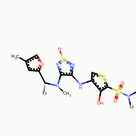 CC[C@H](c1cc(C)co1)N(C)c1n[s+]([O-])nc1Nc1csc(S(=O)(=O)N(CC)CC)c1O